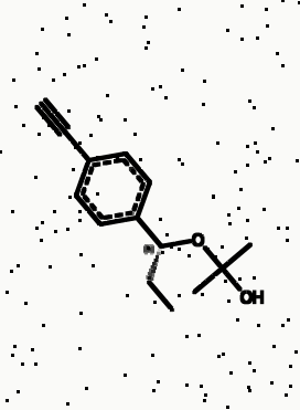 C#Cc1ccc([C@@H](CC)OC(C)(C)O)cc1